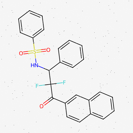 O=C(c1ccc2ccccc2c1)C(F)(F)C(NS(=O)(=O)c1ccccc1)c1ccccc1